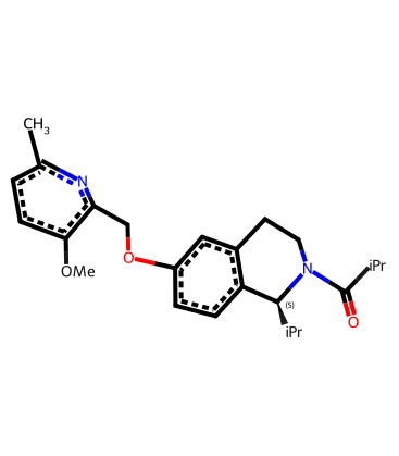 COc1ccc(C)nc1COc1ccc2c(c1)CCN(C(=O)C(C)C)[C@H]2C(C)C